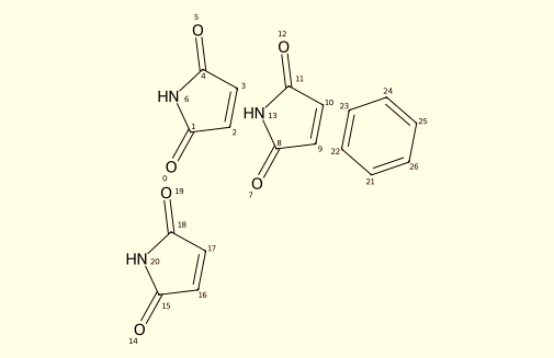 O=C1C=CC(=O)N1.O=C1C=CC(=O)N1.O=C1C=CC(=O)N1.c1ccccc1